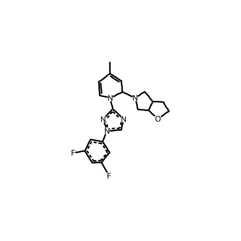 CC1=CC(N2CC3CCOC3C2)N(c2ncn(-c3cc(F)cc(F)c3)n2)C=C1